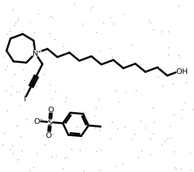 Cc1ccc(S(=O)(=O)[O-])cc1.OCCCCCCCCCCCC[N+]1(CC#CI)CCCCCC1